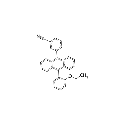 CCOc1ccccc1-c1c2ccccc2c(-c2cccc(C#N)c2)c2ccccc12